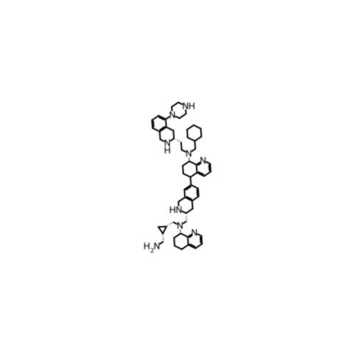 NC[C@@H]1C[C@@H]1CN(C[C@H]1Cc2ccc(C3CC[C@H](N(CC[C@H]4Cc5c(cccc5N5CCNCC5)CN4)CC4CCCCC4)c4ncccc43)cc2CN1)[C@H]1CCCc2cccnc21